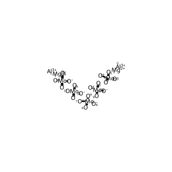 [Al+3].[Al+3].[Mg+2].[Mg+2].[O]=[Mo](=[O])([O-])[O-].[O]=[Mo](=[O])([O-])[O-].[O]=[Mo](=[O])([O-])[O-].[O]=[Mo](=[O])([O-])[O-].[O]=[Mo](=[O])([O-])[O-]